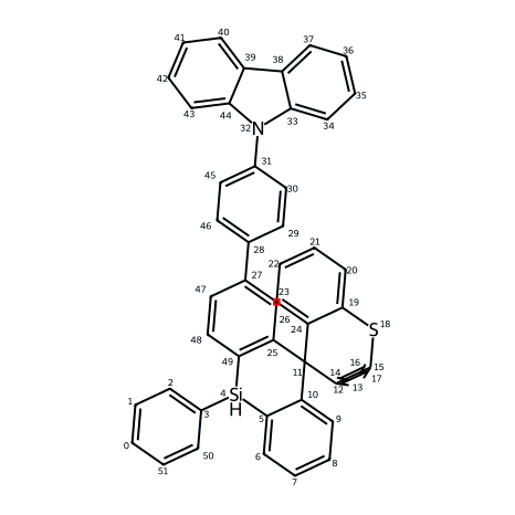 c1ccc([SiH]2c3ccccc3C3(c4ccccc4Sc4ccccc43)c3cc(-c4ccc(-n5c6ccccc6c6ccccc65)cc4)ccc32)cc1